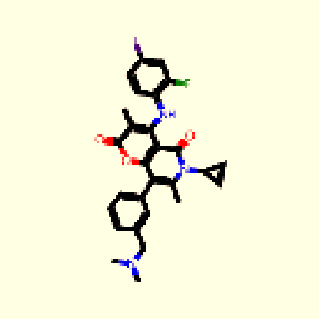 Cc1c(Nc2ccc(I)cc2F)c2c(=O)n(C3CC3)c(C)c(-c3cccc(CN(C)C)c3)c2oc1=O